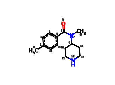 Cc1ccc(C(=O)N(C)C2CCNCC2)cc1